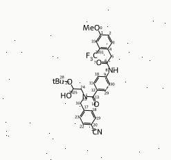 COc1ccc(CC(=O)Nc2ccc(C(=O)N(Cc3ccc(C#N)cc3)CC(O)OC(C)(C)C)cc2)c(C(F)(F)F)c1